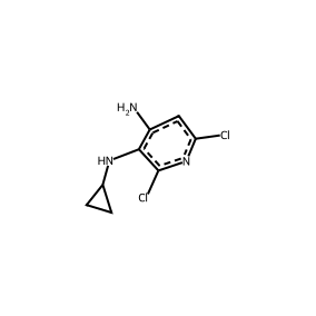 Nc1cc(Cl)nc(Cl)c1NC1CC1